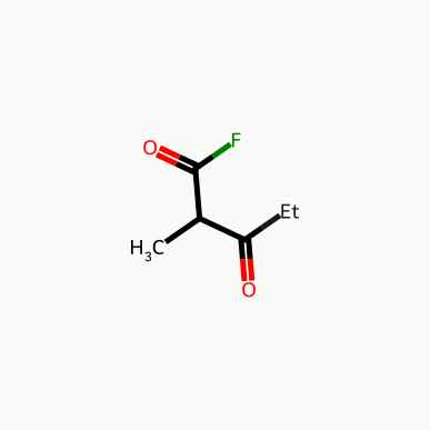 CCC(=O)C(C)C(=O)F